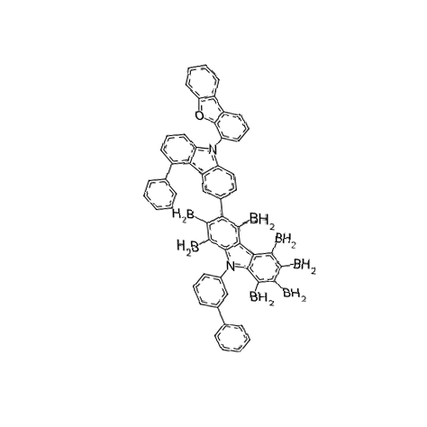 Bc1c(B)c(B)c2c(c1B)c1c(B)c(-c3ccc4c(c3)c3c(-c5ccccc5)cccc3n4-c3cccc4c3oc3ccccc34)c(B)c(B)c1n2-c1cccc(-c2ccccc2)c1